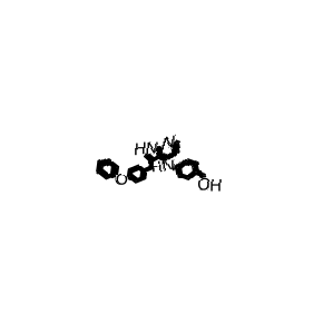 OCC1CCC(Nc2ccnc3[nH]cc(Cc4ccc(Oc5ccccc5)cc4)c23)CC1